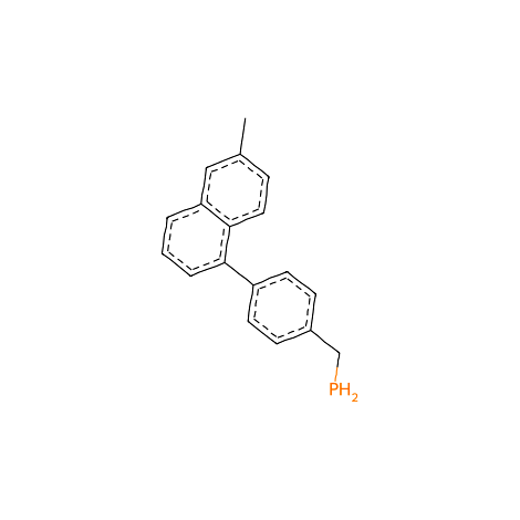 Cc1ccc2c(-c3ccc(CP)cc3)cccc2c1